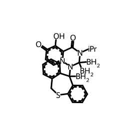 BC1(N2n3ccc(=O)c(O)c3C(=O)N(C(C)C)C2(B)B)c2ccccc2CSc2ccccc21